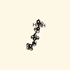 C=C(CCCOc1ccc(C2NC(=O)c3cc(C)ccc3N2)cc1OC)Oc1c(OC)cc(C2=NOC(c3cc(OC)c(OC)c(OC)c3)C2)cc1OC